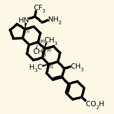 CC1C(C2=CCC(C(=O)O)CC2)=CC[C@@]2(C)C1CC[C@]1(C)C2CCC2C3CCC[C@]3(NC(CN)C(F)(F)F)CC[C@]21C